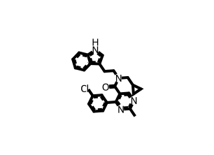 Cc1ncc(C(=O)N(CCc2c[nH]c3ccccc23)CC2CC2)c(-c2cccc(Cl)c2)n1